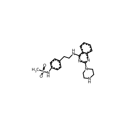 CS(=O)(=O)Nc1ccc(CCNc2nc(N3CCNCC3)nc3ccccc23)cc1